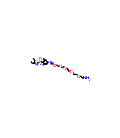 CCC1N=C(NC(=O)c2ccc(NCCOCCOCCOCCOCCOCCN)cc2C)SC1C